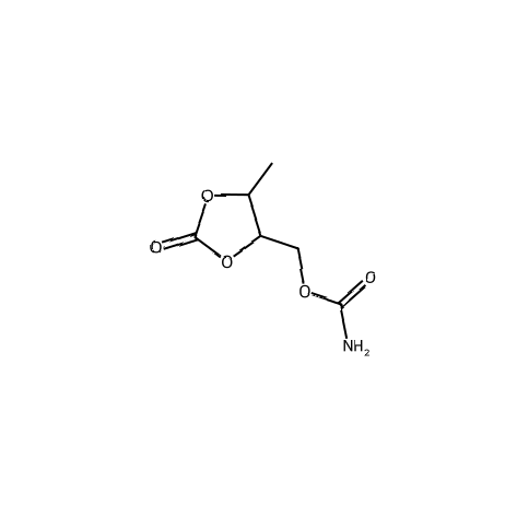 CC1OC(=O)OC1COC(N)=O